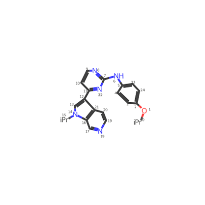 CC(C)Oc1ccc(Nc2nccc(-c3cn(C(C)C)c4cnccc34)n2)cc1